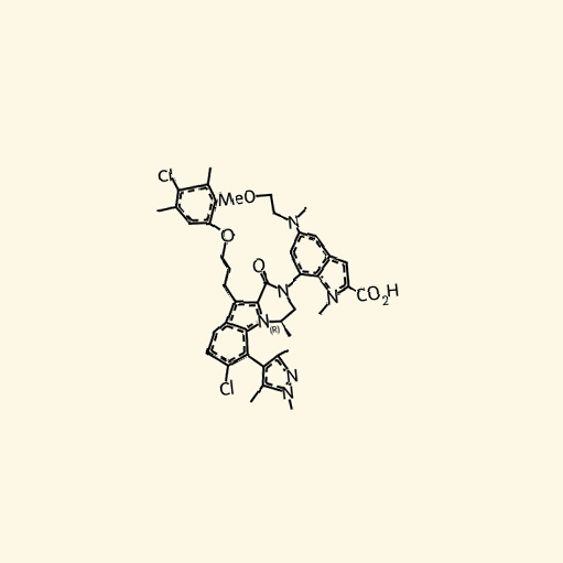 COCCN(C)c1cc(N2C[C@@H](C)n3c(c(CCCOc4cc(C)c(Cl)c(C)c4)c4ccc(Cl)c(-c5c(C)nn(C)c5C)c43)C2=O)c2c(c1)cc(C(=O)O)n2C